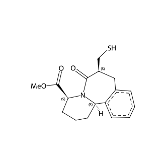 COC(=O)[C@@H]1CCC[C@@H]2c3ccccc3C[C@H](CS)C(=O)N21